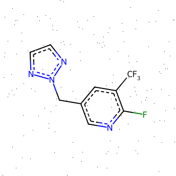 Fc1ncc(Cn2nccn2)cc1C(F)(F)F